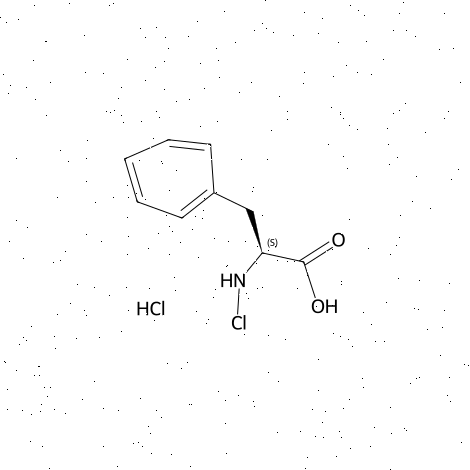 Cl.O=C(O)[C@H](Cc1ccccc1)NCl